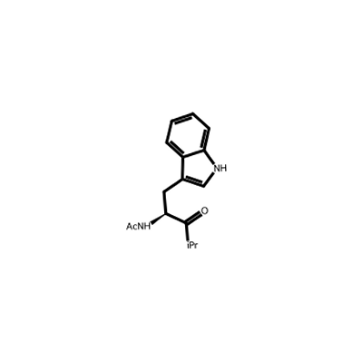 CC(=O)N[C@@H](Cc1c[nH]c2ccccc12)C(=O)C(C)C